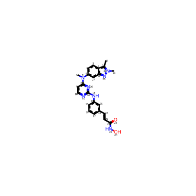 Cc1c2ccc(N(C)c3ccnc(Nc4cccc(/C=C/C(=O)NO)c4)n3)cc2nn1C